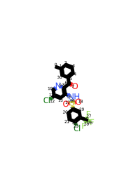 Cc1cccc(C(=O)c2ncc(Cl)cc2NS(=O)(=O)c2ccc(Cl)c(C(F)(F)F)c2)c1